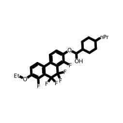 CCCC1CCC(C(O)Oc2ccc3c(c2F)C(F)(F)C(F)(F)c2c-3ccc(OCC)c2F)CC1